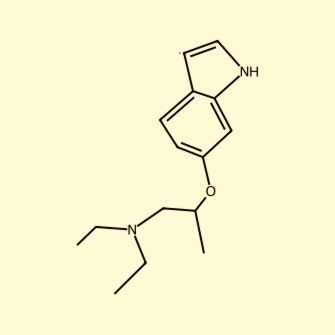 CCN(CC)CC(C)Oc1ccc2[c]c[nH]c2c1